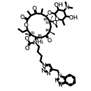 CCC1OC(=O)C(C)C(=O)C(C)[C@@H](OC2OC(C)C(O)C(N(C)C)C2O)[C@@](C)(OC)C[C@@H](C)C(=O)[C@H](C)[C@H]2N(CCCCn3cc(Cn4nnc5ccccc54)nn3)C(=O)O[C@]12C